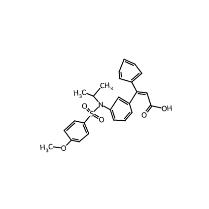 COc1ccc(S(=O)(=O)N(c2cccc(/C(=C\C(=O)O)c3ccccc3)c2)C(C)C)cc1